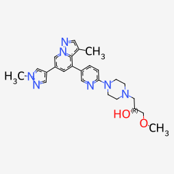 COC[C@H](O)CN1CCN(c2ccc(-c3cc(-c4cnn(C)c4)cn4ncc(C)c34)cn2)CC1